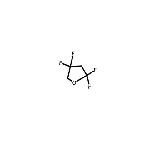 FC1(F)COC(F)(F)C1